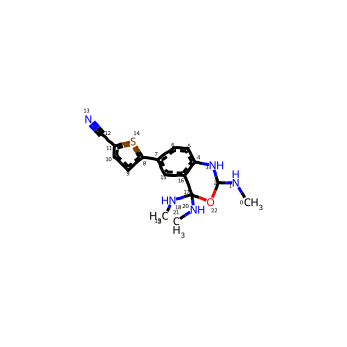 CNC1Nc2ccc(-c3ccc(C#N)s3)cc2C(NC)(NC)O1